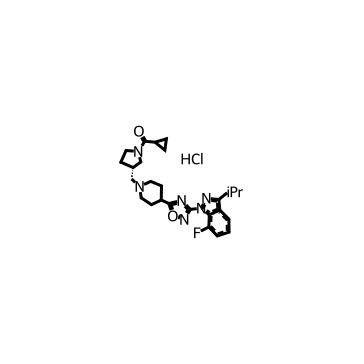 CC(C)c1nn(-c2noc(C3CCN(C[C@@H]4CCN(C(=O)C5CC5)C4)CC3)n2)c2c(F)cccc12.Cl